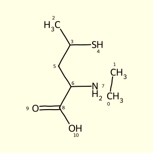 CC.CC(S)CC(N)C(=O)O